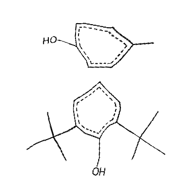 CC(C)(C)c1cccc(C(C)(C)C)c1O.Cc1ccc(O)cc1